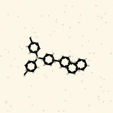 Cc1ccc(N(c2ccc(C)cc2)c2ccc(-c3ccc4c(ccc5ccccc54)c3)cc2)cc1